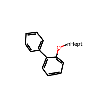 CCCCCCCOc1ccccc1-c1ccccc1